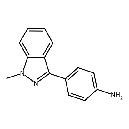 Cn1nc(-c2ccc(N)cc2)c2ccccc21